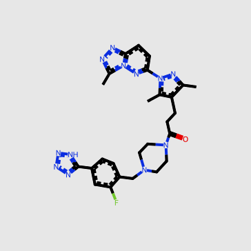 Cc1nn(-c2ccc3nnc(C)n3n2)c(C)c1CCC(=O)N1CCN(Cc2ccc(-c3nnn[nH]3)cc2F)CC1